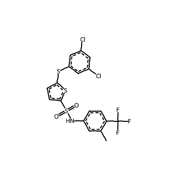 Cc1cc(NS(=O)(=O)c2ccc(Sc3cc(Cl)cc(Cl)c3)s2)ccc1C(F)(F)F